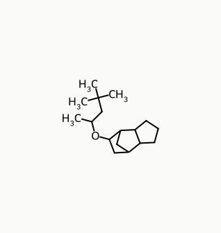 CC(CC(C)(C)C)OC1CC2CC1C1CCCC21